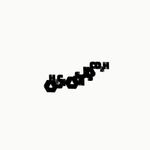 CN(Cc1ccccc1)c1ccc2nc(C3=NC(C(=O)O)CS3)sc2c1